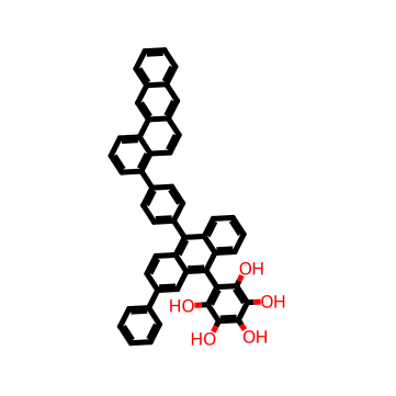 Oc1c(O)c(O)c(-c2c3ccccc3c(-c3ccc(-c4cccc5c4ccc4cc6ccccc6cc45)cc3)c3ccc(-c4ccccc4)cc23)c(O)c1O